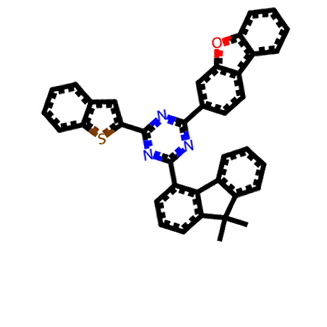 CC1(C)c2ccccc2-c2c(-c3nc(-c4ccc5c(c4)oc4ccccc45)nc(-c4cc5ccccc5s4)n3)cccc21